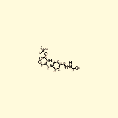 CC(C)(C)OC(=O)NC(C=O)Cc1ccc(/C=N/NC=O)cc1